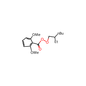 CCCCC([CH]OOC(=O)c1c(OC)cccc1OC)CC